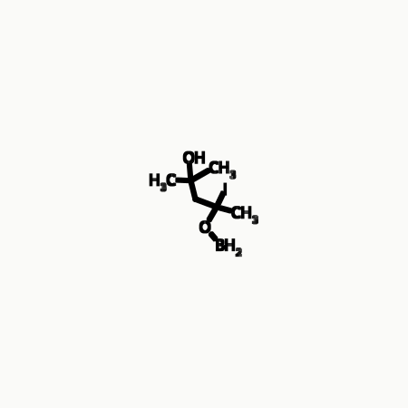 BOC(C)(I)CC(C)(C)O